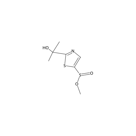 COS(=O)c1cnc(C(C)(C)O)s1